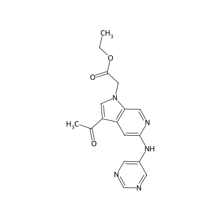 CCOC(=O)Cn1cc(C(C)=O)c2cc(Nc3cncnc3)ncc21